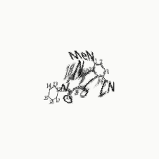 CNc1ccc(C#N)c2sc3c(=O)n(C4CCCCC4)cnc3c12